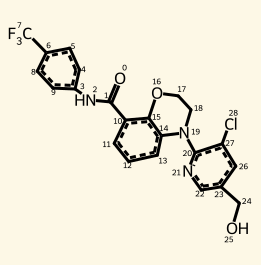 O=C(Nc1ccc(C(F)(F)F)cc1)c1cccc2c1OCCN2c1ncc(CO)cc1Cl